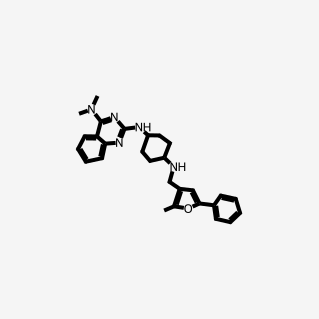 Cc1oc(-c2ccccc2)cc1CNC1CCC(Nc2nc(N(C)C)c3ccccc3n2)CC1